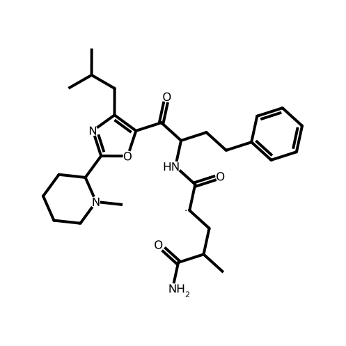 CC(C)Cc1nc(C2CCCCN2C)oc1C(=O)C(CCc1ccccc1)NC(=O)[CH]CC(C)C(N)=O